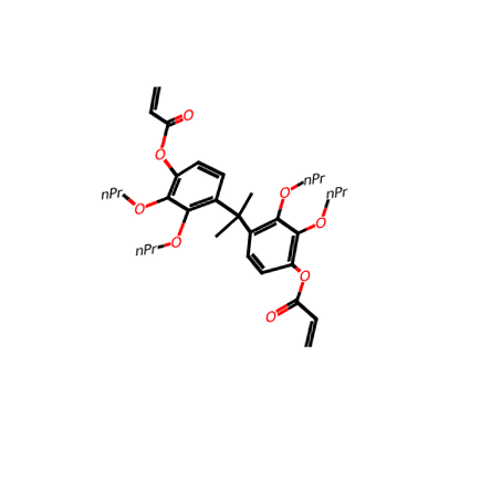 C=CC(=O)Oc1ccc(C(C)(C)c2ccc(OC(=O)C=C)c(OCCC)c2OCCC)c(OCCC)c1OCCC